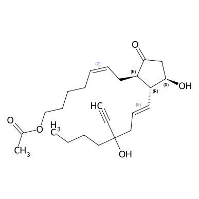 C#CC(O)(C/C=C/[C@H]1[C@H](O)CC(=O)[C@@H]1C/C=C\CCCCOC(C)=O)CCCC